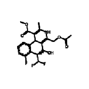 COC(=O)C1=C(C)NC(COC(C)=O)=C(C(=O)O)C1c1cccc(F)c1C(F)C(F)F